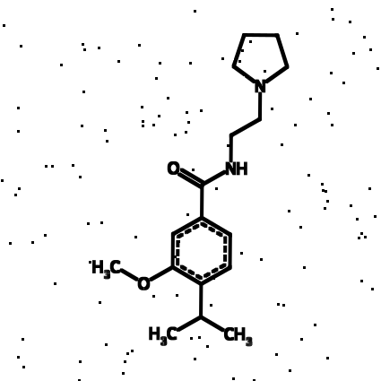 COc1cc(C(=O)NCCN2CCCC2)ccc1C(C)C